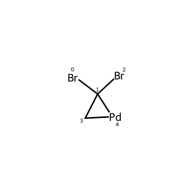 Br[C]1(Br)[CH2][Pd]1